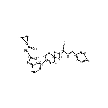 O=C(Nc1nc2cccc(C3=CCC4(CC3)CN(C(=O)OCc3ccccc3)C4)n2n1)C1CC1